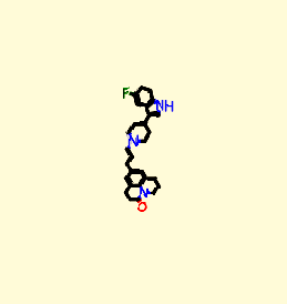 O=C1CCc2cc(CCCN3CCC(c4c[nH]c5ccc(F)cc45)CC3)cc3c2N1CCC3